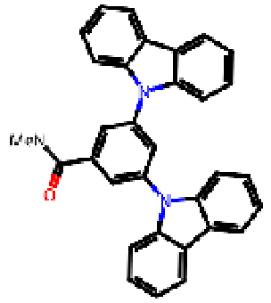 CNC(=O)c1cc(-n2c3ccccc3c3ccccc32)cc(-n2c3ccccc3c3ccccc32)c1